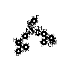 C[C@H]1COCCN1c1cc(CS(=O)(=O)c2ccc(F)cc2)nc(-c2ccc(N)cc2)n1.[Cl][Pd][Cl].c1ccc(P(c2ccccc2)c2ccccc2)cc1.c1ccc(P(c2ccccc2)c2ccccc2)cc1